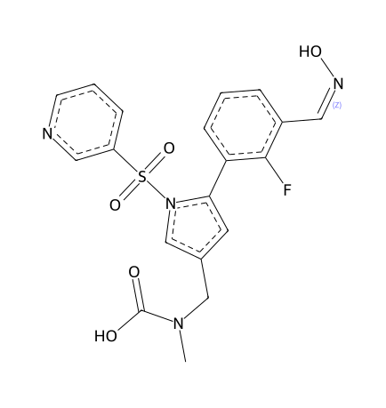 CN(Cc1cc(-c2cccc(/C=N\O)c2F)n(S(=O)(=O)c2cccnc2)c1)C(=O)O